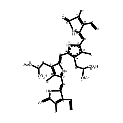 C=CC1=C(C)C(=O)N/C1=C\C1=NC(=Cc2[nH]c(/C=C3\NC(=O)C(C)=C3C=C)c(C)c2CC(OC)C(=O)O)C(CC(OC)C(=O)O)=C1C